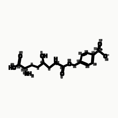 N[C@@H](CCC(O)CNC(=O)OCc1ccc([N+](=O)[O-])cc1)C(=O)O